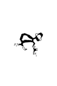 NC(=O)NCc1c(C(N)=O)cccc1C1=COC=CO1